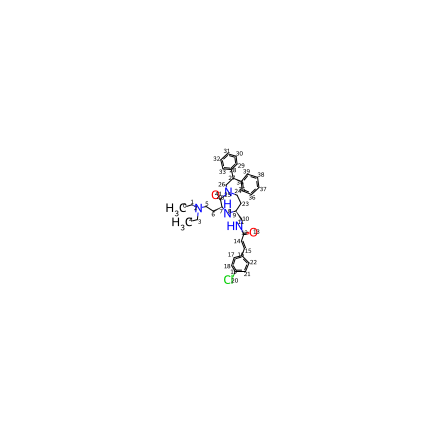 CCN(CC)CC[C@@H]1N[C@H](CNC(=O)/C=C/c2ccc(Cl)cc2)CCN(CC(c2ccccc2)c2ccccc2)C1=O